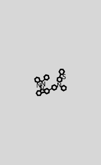 c1ccc(-c2nc(-n3c4ccccc4c4ccc(-c5ccc(N(c6ccccc6)c6ccc7c(c6)sc6ccccc67)cc5)cc43)nc3ccccc23)cc1